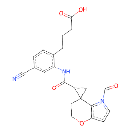 N#Cc1ccc(CCCC(=O)O)c(NC(=O)C2CC23CCOc2ccn(C=O)c23)c1